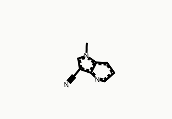 Cn1cc(C#N)c2ncccc21